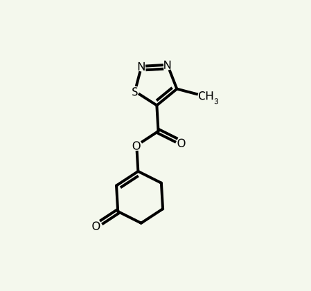 Cc1nnsc1C(=O)OC1=CC(=O)CCC1